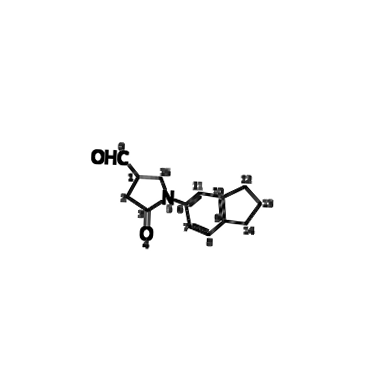 O=CC1CC(=O)N(c2ccc3c(c2)CCC3)C1